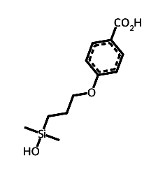 C[Si](C)(O)CCCOc1ccc(C(=O)O)cc1